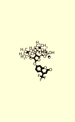 CC(C)(C)[Si](C)(C)OC1C(Oc2ccc3c(C(F)(F)F)cc(=O)oc3c2)O[C@H](COP(=O)(O)O)C1O[Si](C)(C)C(C)(C)C